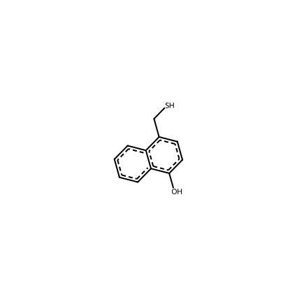 Oc1ccc(CS)c2ccccc12